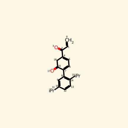 C=CC(=O)C1=CC=C(c2cc(C(C)C)ccc2C(C)C)C(=O)C1